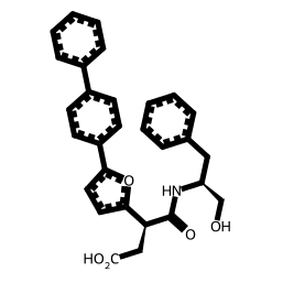 O=C(O)C[C@H](C(=O)N[C@H](CO)Cc1ccccc1)c1ccc(-c2ccc(-c3ccccc3)cc2)o1